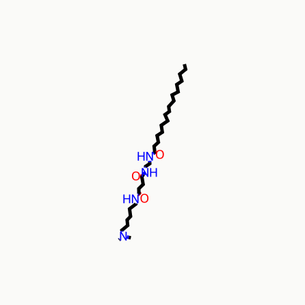 CCCCCCCCCCCCCCCCCC(=O)NCCNC(=O)CCC(=O)NCCCCCCN(C)C